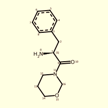 N[C@@H](Cc1ccccc1)C(=O)N1CCCOC1